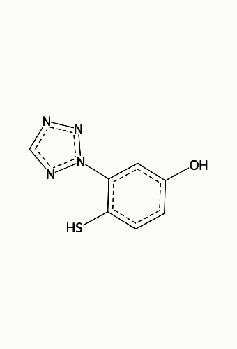 Oc1ccc(S)c(-n2ncnn2)c1